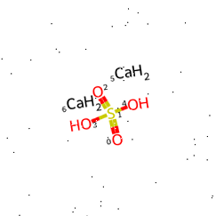 O=S(=O)(O)O.[CaH2].[CaH2]